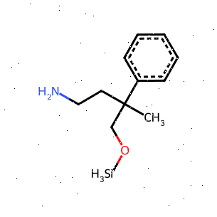 CC(CCN)(CO[SiH3])c1ccccc1